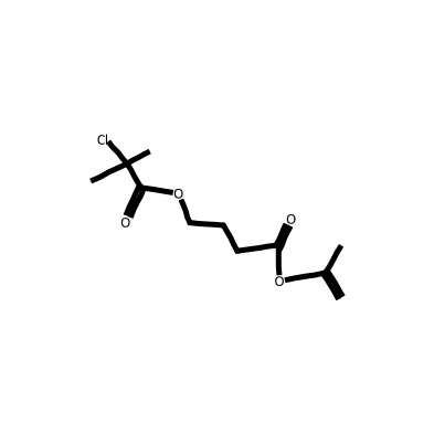 C=C(C)OC(=O)CCCOC(=O)C(C)(C)Cl